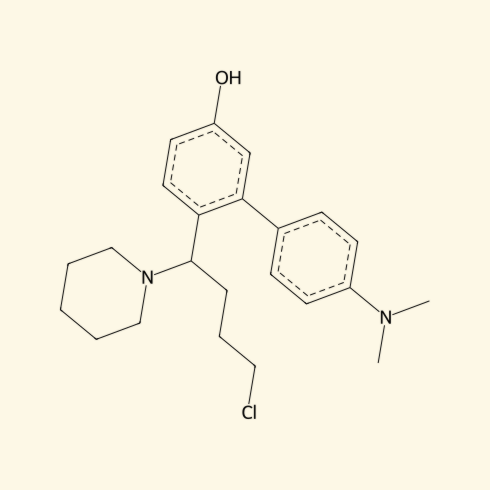 CN(C)c1ccc(-c2cc(O)ccc2C(CCCCl)N2CCCCC2)cc1